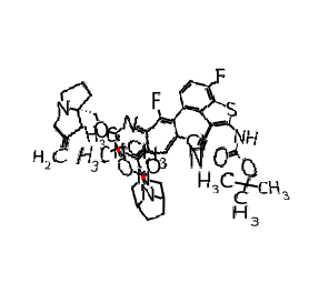 C=C1CN2CCC[C@@]2(COc2nc(N3CC4CCC(C3)N4C(=O)OC(C)(C)C)c3cc(Cl)c(-c4ccc(F)c5sc(NC(=O)OC(C)(C)C)c(C#N)c45)c(F)c3n2)C1